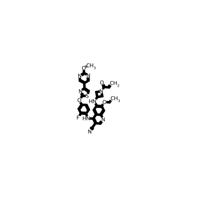 C=CC(=O)N1CC(Nc2cc3c(Nc4ccc(Oc5nc(-c6cnc(OC)nc6)cs5)cc4F)c(C#N)cnc3cc2OCC)C1